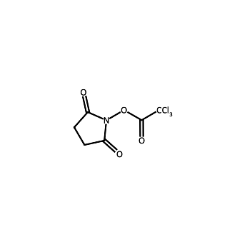 O=C1CCC(=O)N1OC(=O)C(Cl)(Cl)Cl